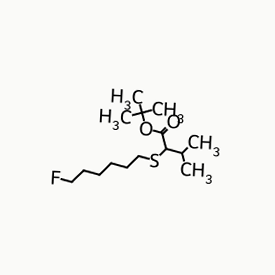 CC(C)C(SCCCCCCF)C(=O)OC(C)(C)C